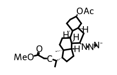 COC(=O)CCC(C)[C@H]1CC[C@H]2[C@@H]3[C@@H](N=[N+]=[N-])C[C@@H]4C[C@H](OC(C)=O)CC[C@]4(C)[C@H]3CC[C@]12C